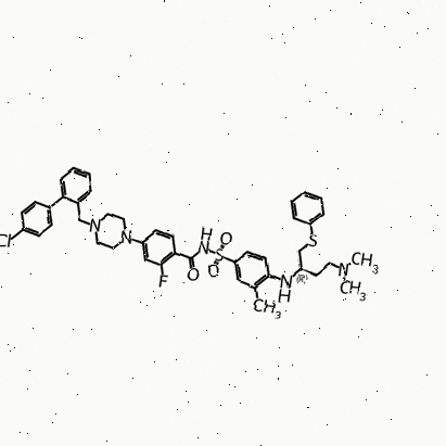 Cc1cc(S(=O)(=O)NC(=O)c2ccc(N3CCN(Cc4ccccc4-c4ccc(Cl)cc4)CC3)cc2F)ccc1N[C@H](CCN(C)C)CSc1ccccc1